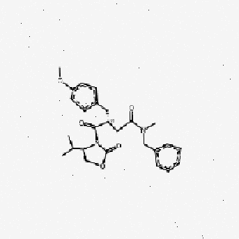 COc1ccc(C[C@H](CC(=O)N(C)Cc2ccccc2)C(=O)N2C(=O)OCC2C(C)C)cc1